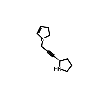 C(#C[C@H]1CCCN1)CN1C=CCC1